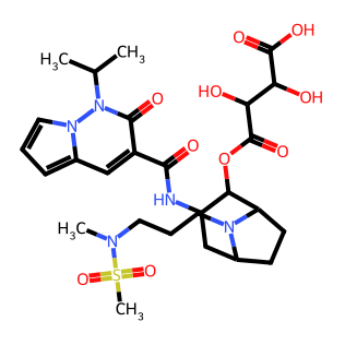 CC(C)n1c(=O)c(C(=O)NC2CC3CCC(C2OC(=O)C(O)C(O)C(=O)O)N3CCCN(C)S(C)(=O)=O)cc2cccn21